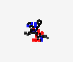 CN[C@@H]1C(=O)OB(C(CC(C)C)NC(=O)C(Cc2ccccc2)NC(=O)c2cnccn2)O[C@H]1C(=O)O